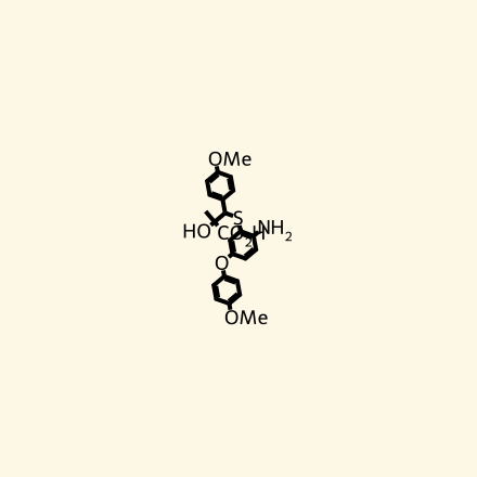 COc1ccc(Oc2ccc(N)c(SC(c3ccc(OC)cc3)C(C)(O)C(=O)O)c2)cc1